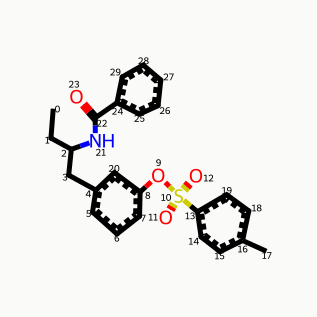 CCC(Cc1cccc(OS(=O)(=O)c2ccc(C)cc2)c1)NC(=O)c1ccccc1